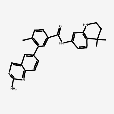 Cc1ccc(C(=O)Nc2ccc3c(c2)NCCC3(C)C)cc1-c1ccc2nc(N)ncc2c1